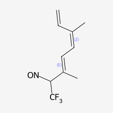 C=C/C(C)=C\C=C(/C)C(N=O)C(F)(F)F